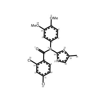 COc1ccc(N(C(=O)c2ccc(Cl)cc2Cl)c2ncc(C)s2)cc1OC